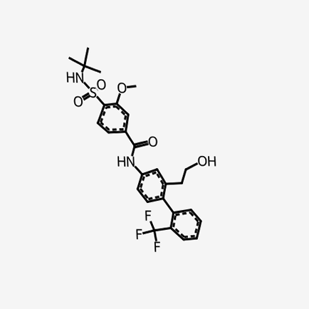 COc1cc(C(=O)Nc2ccc(-c3ccccc3C(F)(F)F)c(CCO)c2)ccc1S(=O)(=O)NC(C)(C)C